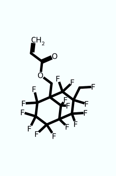 C=CC(=O)OCC12C(F)(F)C(F)(F)C(F)(F)C(F)(C(F)(F)C(F)(CF)C1(F)F)C2(F)F